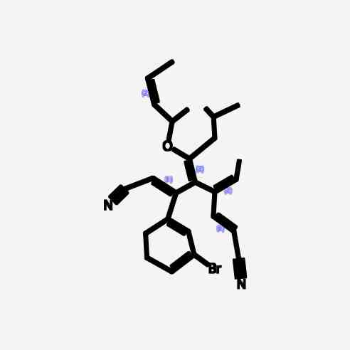 C/C=C\C(C)O/C(CC(C)C)=C(C(=C\C)/C=C/C#N)\C(=C\C#N)C1=CC(Br)=CCC1